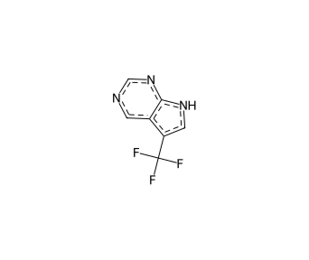 FC(F)(F)c1c[nH]c2ncncc12